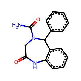 NC(=O)N1CC(=O)Nc2ccccc2C1c1ccccc1